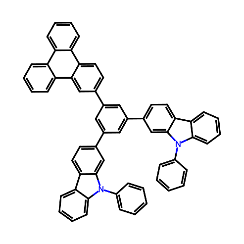 c1ccc(-n2c3ccccc3c3ccc(-c4cc(-c5ccc6c7ccccc7c7ccccc7c6c5)cc(-c5ccc6c7ccccc7n(-c7ccccc7)c6c5)c4)cc32)cc1